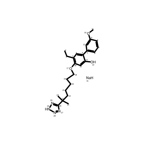 CCc1cc(-c2cccc(OC)c2)c(O)cc1OCCCCCC(C)(C)c1nn[nH]n1.[NaH]